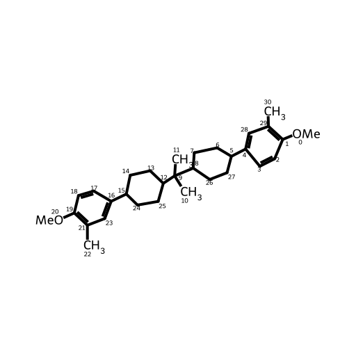 COc1ccc(C2CCC(C(C)(C)C3CCC(c4ccc(OC)c(C)c4)CC3)CC2)cc1C